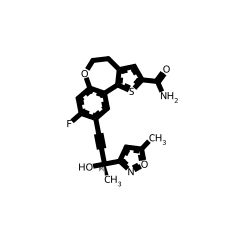 Cc1cc([C@](C)(O)C#Cc2cc3c(cc2F)OCCc2cc(C(N)=O)sc2-3)no1